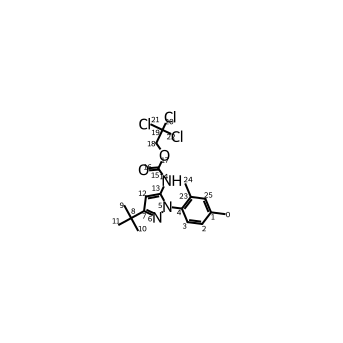 Cc1ccc(-n2nc(C(C)(C)C)cc2NC(=O)OCC(Cl)(Cl)Cl)c(C)c1